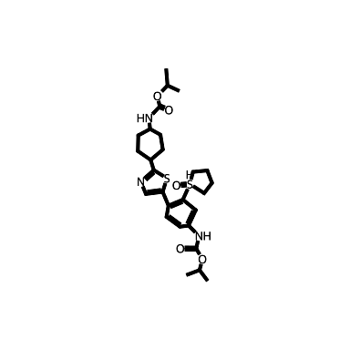 CC(C)OC(=O)Nc1ccc(-c2cnc(C3CCC(NC(=O)OC(C)C)CC3)s2)c([SH]2(=O)CCCC2)c1